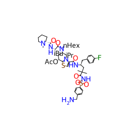 CCCCCCN(C(=O)[C@@H](NC(=O)[C@H]1CCCCN1C)[C@@H](C)CC)[C@H](C[C@@H](OC(C)=O)c1nc(C(=O)N[C@@H](Cc2ccc(F)cc2)CC(C)(C)C(=O)NS(=O)(=O)c2ccc(CN)cc2)cs1)C(C)C